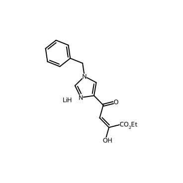 CCOC(=O)/C(O)=C\C(=O)c1cn(Cc2ccccc2)cn1.[LiH]